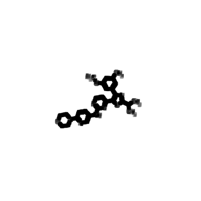 COc1cc(C)cc(-c2nc(C(C)C)oc2-c2ccnc(Nc3ccc(N4CCOCC4)nc3)n2)c1